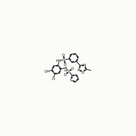 Cc1nc(-c2cccc(S(=O)(=O)Nc3cc(Cl)c(Cl)cc3NS(=O)(=O)c3cccs3)c2)no1